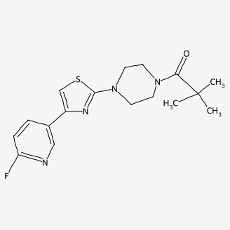 CC(C)(C)C(=O)N1CCN(c2nc(-c3ccc(F)nc3)cs2)CC1